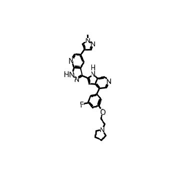 Cn1cc(-c2cnc3[nH]nc(-c4cc5c(-c6cc(F)cc(OCCN7CCCC7)c6)cncc5[nH]4)c3c2)cn1